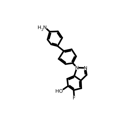 Nc1ccc(-c2ccc(-n3ncc4cc(F)c(O)cc43)cc2)cc1